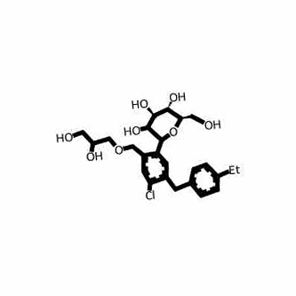 CCc1ccc(Cc2cc(C3O[C@H](CO)[C@@H](O)[C@H](O)C3O)c(COCC(O)CO)cc2Cl)cc1